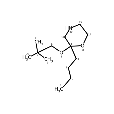 CCCCC1(OCC(C)(C)C)CNCCO1